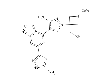 CON1CC(CC#N)(n2cc(-c3nc(-c4cc(N)[nH]n4)cn4nccc34)c(N)n2)C1